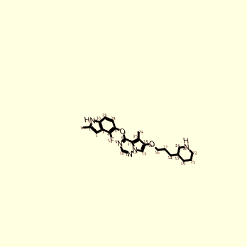 Cc1cc2c(F)c(Oc3ncnn4cc(OCCCC5CCCNC5)c(C)c34)ccc2[nH]1